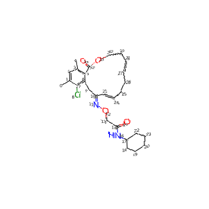 Cc1cc(C)c2c(c1Cl)CC(=N/OCC(=O)NC1CCCCC1)/C=C/CC/C=C/CCOC2=O